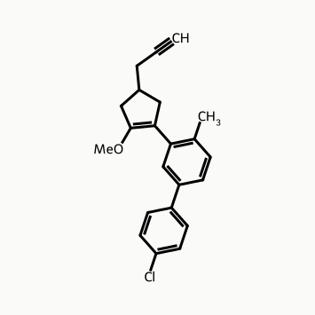 C#CCC1CC(OC)=C(c2cc(-c3ccc(Cl)cc3)ccc2C)C1